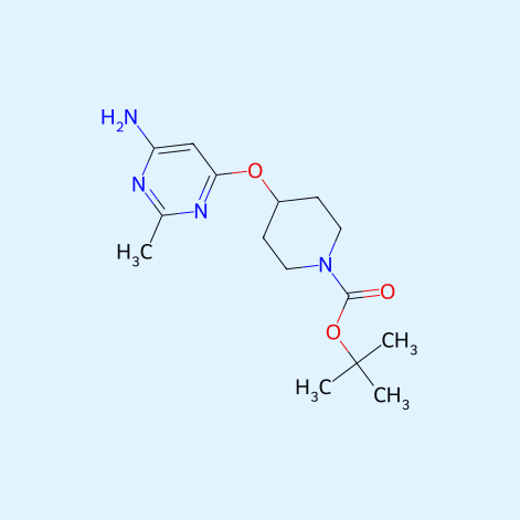 Cc1nc(N)cc(OC2CCN(C(=O)OC(C)(C)C)CC2)n1